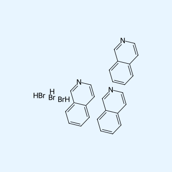 Br.Br.Br.c1ccc2cnccc2c1.c1ccc2cnccc2c1.c1ccc2cnccc2c1